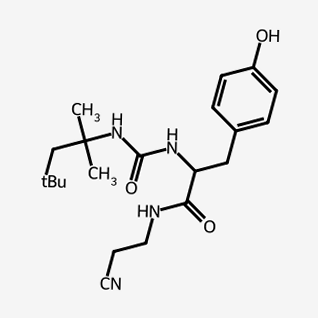 CC(C)(C)CC(C)(C)NC(=O)NC(Cc1ccc(O)cc1)C(=O)NCCC#N